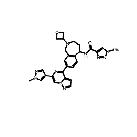 Cn1cc(-c2cn3nccc3c(-c3ccc4c(c3)CN(C3COC3)CCC4NC(=O)c3cn(C(C)(C)C)nn3)n2)cn1